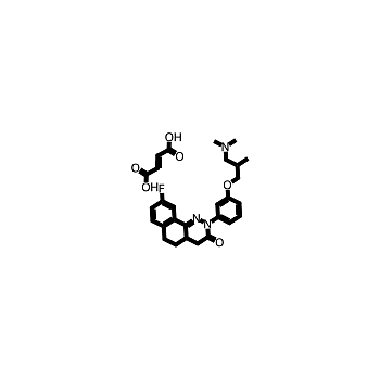 CC(COc1cccc(N2N=C3c4cc(F)ccc4CCC3CC2=O)c1)CN(C)C.O=C(O)C=CC(=O)O